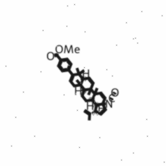 C=C(C)[C@@H]1C=CC2(N=C=O)C=CC3(C)[C@H](CC[C@@H]4C5(C)CC=C(c6ccc(C(=O)OC)cc6)C(C)(C)[C@H]5C=CC43C)[C@H]12